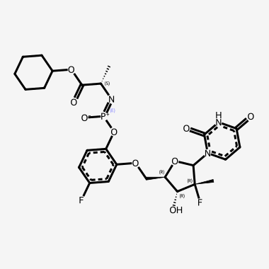 C[C@H](/N=[P+](\[O-])Oc1ccc(F)cc1OC[C@H]1OC(n2ccc(=O)[nH]c2=O)[C@](C)(F)[C@@H]1O)C(=O)OC1CCCCC1